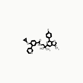 CC(O)(CNC(=O)c1ccc(OC2CC2)c(-c2cccnc2)c1)c1cc2c(c(-c3ccc(F)cc3)n1)OC[C@H]2C(F)(F)F